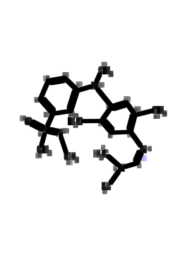 CCN(C)/C=N\c1cc(C)c(N(C)c2cccc(S(C)(=O)=NC)c2)cc1C